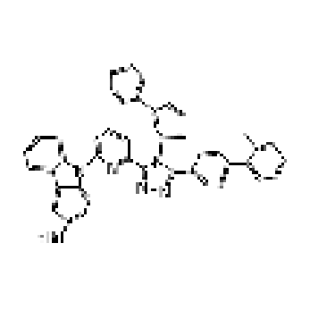 Cc1ccccc1-c1ccc(-c2nnc(-c3cccc(-n4c5ccccc5c5cc(C(C)(C)C)ccc54)n3)n2-c2cccc(-c3ccccc3)c2)cc1